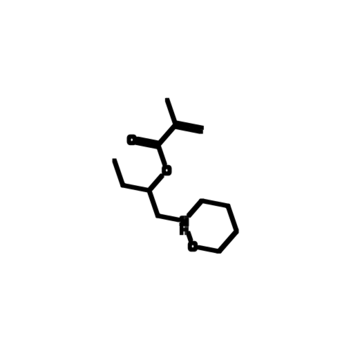 C=C(C)C(=O)OC(CC)C[SiH]1CCCCO1